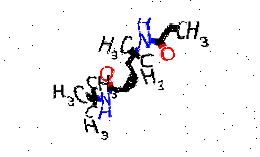 CCC(=O)NC(C)(C)C/C=C\C(=O)NC(C)(C)C